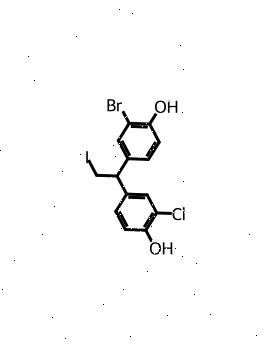 Oc1ccc(C(CI)c2ccc(O)c(Br)c2)cc1Cl